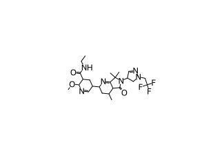 CCNC(=O)C1CC(C2CC(C)C3C(=O)N(C4C=NN(CC(F)(F)F)C4)C(C)(C)C3=N2)C=NC1OC